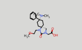 COCCN1C(=O)N(CC(=O)O)C[C@]12CC[C@@](c1ccccc1)(N(C)C)CC2